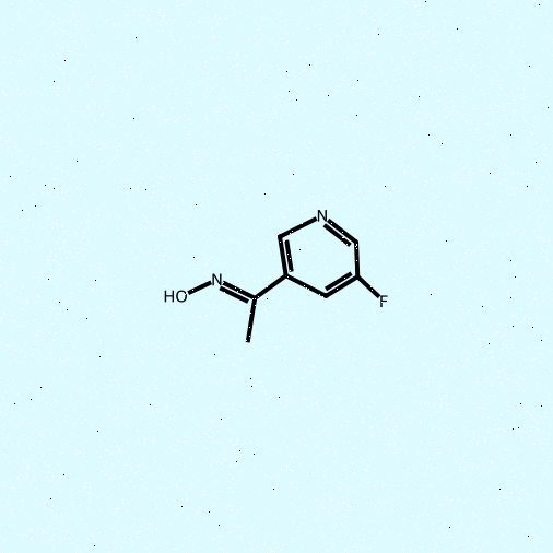 C/C(=N\O)c1cncc(F)c1